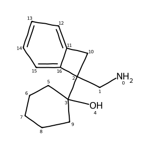 NCC1(C2(O)CCCCC2)Cc2ccccc21